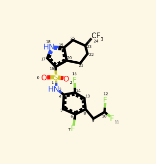 O=S(=O)(Nc1cc(F)c(CC(F)F)cc1F)c1c[nH]c2c1CCC(C(F)(F)F)C2